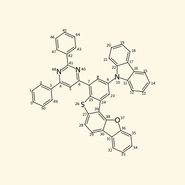 c1ccc(-c2cc(-c3cc(-n4c5ccccc5c5ccccc54)cc4c3sc3ccc5c6ccccc6oc5c34)nc(-c3ccccc3)n2)cc1